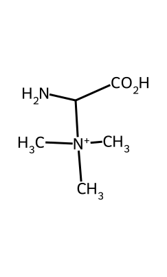 C[N+](C)(C)C(N)C(=O)O